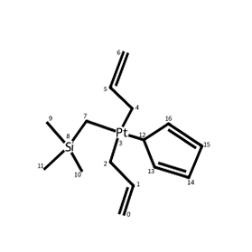 C=C[CH2][Pt]([CH2]C=C)([CH2][Si](C)(C)C)[CH]1C=CC=C1